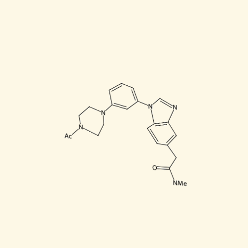 CNC(=O)Cc1ccc2c(c1)ncn2-c1cccc(N2CCN(C(C)=O)CC2)c1